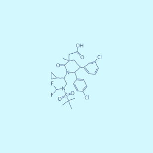 CC1(CC(=O)O)CC(c2cccc(Cl)c2)C(c2ccc(Cl)cc2)N(C(CN(C(F)F)S(=O)(=O)C(C)(C)C)C2CC2)C1=O